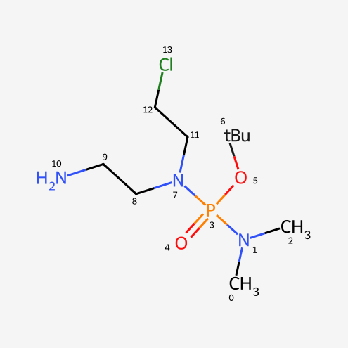 CN(C)P(=O)(OC(C)(C)C)N(CCN)CCCl